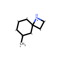 CC1CCCC2(CCN2)C1